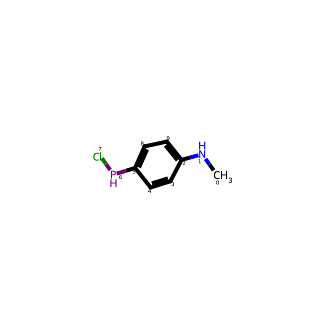 CNc1ccc(PCl)cc1